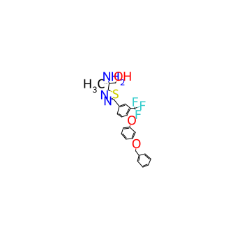 C[C@](N)(CO)c1nnc(-c2ccc(Oc3cccc(OCc4ccccc4)c3)c(C(F)(F)F)c2)s1